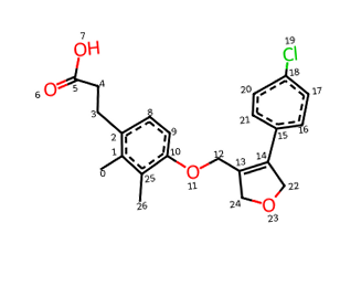 Cc1c(CCC(=O)O)ccc(OCC2=C(c3ccc(Cl)cc3)COC2)c1C